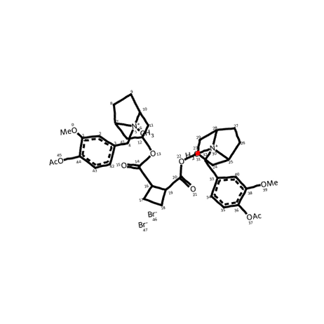 COc1cc(C[N+]2(C)C3CCC2CC(OC(=O)C2CCC2C(=O)OC2CC4CCC(C2)[N+]4(C)Cc2ccc(OC(C)=O)c(OC)c2)C3)ccc1OC(C)=O.[Br-].[Br-]